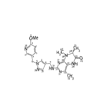 COc1ccc(Cn2cc(CNc3nc(C)c4c(n3)N(C)[C@@H](C)C(=O)N4)cn2)cn1